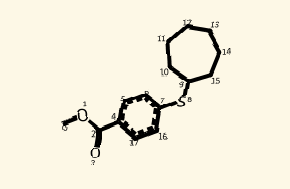 COC(=O)c1ccc(SC2CCCCCC2)cc1